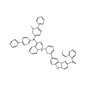 C=C(C1=CC2c3cc(C4=CC=CC(C5(C)C=CC(N(C6=CC=C(c7ccccc7)C(C)C6)c6ccc(-c7ccccc7)cc6)=C6C=CC=CC65)C4)ccc3OC2C=C1)c1ccccc1/C=C\C